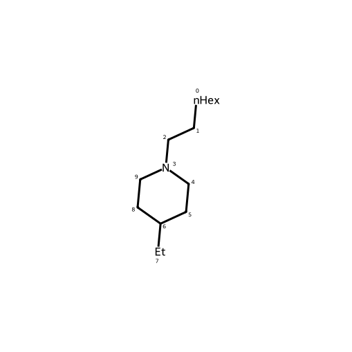 [CH2]CCCCCCCN1CCC(CC)CC1